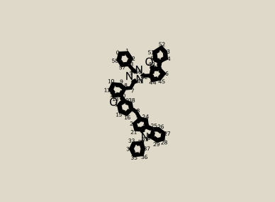 c1ccc(-c2nc(Cc3cccc4oc5ccc(Cc6ccc7c(c6)c6ccccc6n7-c6ccccc6)cc5c34)nc(-c3cccc4c3oc3ccccc34)n2)cc1